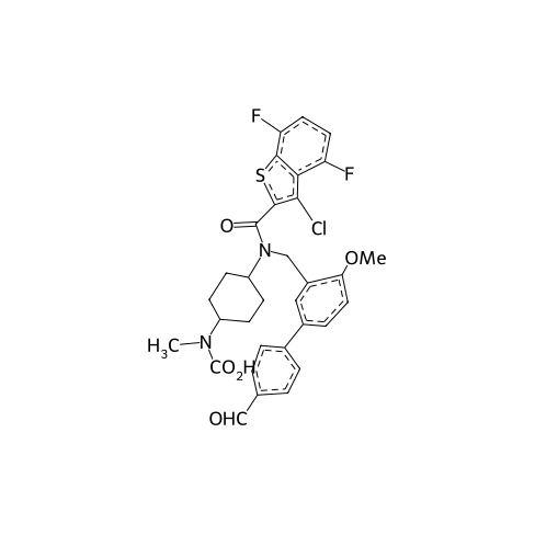 COc1ccc(-c2ccc(C=O)cc2)cc1CN(C(=O)c1sc2c(F)ccc(F)c2c1Cl)C1CCC(N(C)C(=O)O)CC1